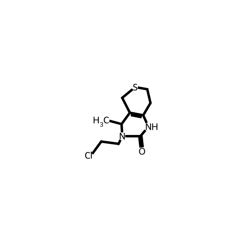 CC1C2=C(CCSC2)NC(=O)N1CCCl